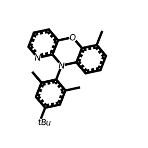 Cc1cccc2c1Oc1cccnc1N2c1c(C)cc(C(C)(C)C)cc1C